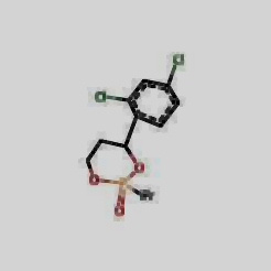 CC(C)P1(=O)OCCC(c2ccc(Cl)cc2Cl)O1